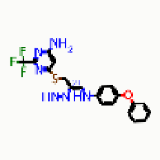 N=N/C(=C\Nc1ccc(Oc2ccccc2)cc1)CSc1cc(N)nc(C(F)(F)F)n1